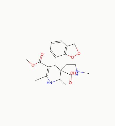 CNCCC1(C(=O)O)C(C)NC(C)=C(C(=O)OC)C1c1cccc2c1OOC2